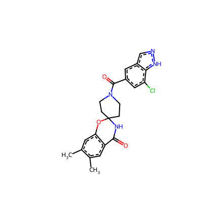 Cc1cc2c(cc1C)C(=O)NC1(CCN(C(=O)c3cc(Cl)c4[nH]ncc4c3)CC1)O2